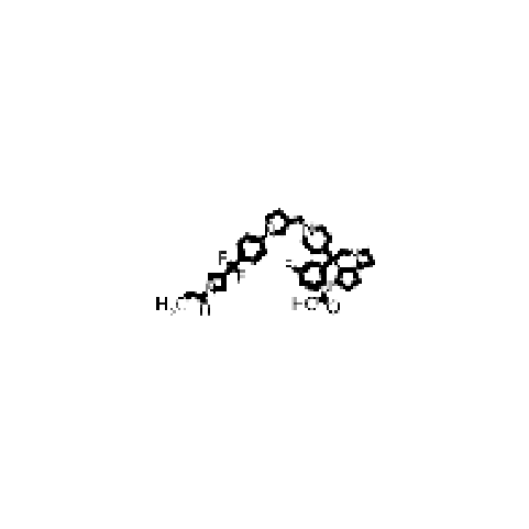 C=CC(=O)N1CC(C(F)(F)c2ccc(N3CCC(CN4CCC(C(CN5CCC5)(c5cccc(F)c5)[C@H]5CCC[C@@H]5NC(=O)O)CC4)C3)cc2)C1